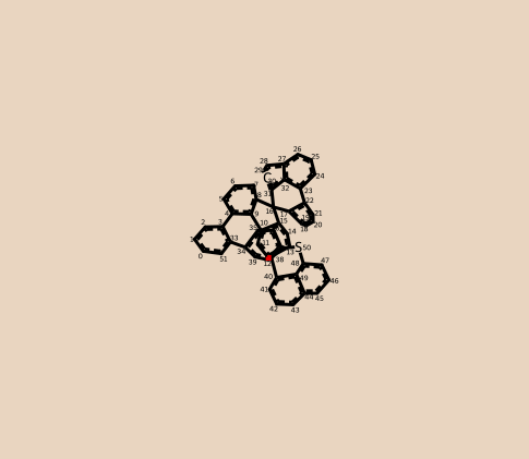 c1ccc(-c2cccc3c2-c2ccccc2C32c3ccccc3-c3cccc4cccc2c34)c(-c2ccc3c(c2)-c2cccc4cccc(c24)S3)c1